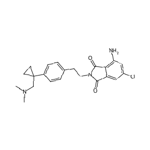 CN(C)CC1(c2ccc(CCN3C(=O)c4cc(Cl)cc(N)c4C3=O)cc2)CC1